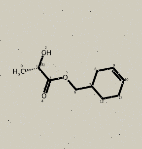 C[C@H](O)C(=O)OCC1CC=CCC1